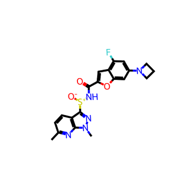 Cc1ccc2c([S+]([O-])NC(=O)c3cc4c(F)cc(N5CCC5)cc4o3)nn(C)c2n1